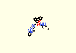 CCn1c(N2CCN(CCCCC3(OC(=O)NCC(F)(F)F)c4ccccc4-c4ccccc43)CC2)nc2ccccc21